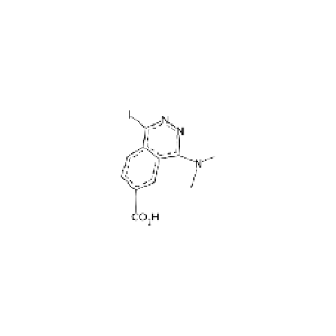 CN(C)c1nnc(I)c2ccc(C(=O)O)cc12